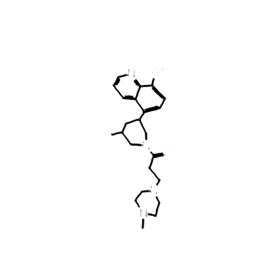 CC1CC(c2ccc(C(F)(F)F)c3ncccc23)CN(C(=O)CCN2CCN(C)CC2)C1